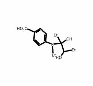 CCC(O)C(O)(CC)N(CC)c1ccc(C(=O)O)cc1